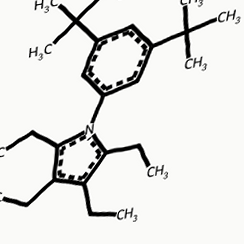 CCc1c(CC)c(CC)n(-c2cc(C(C)(C)C)cc(C(C)(C)C)c2)c1CC